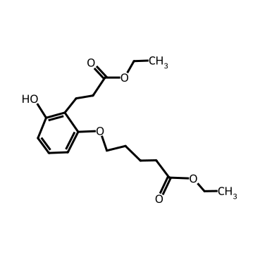 CCOC(=O)CCCCOc1cccc(O)c1CCC(=O)OCC